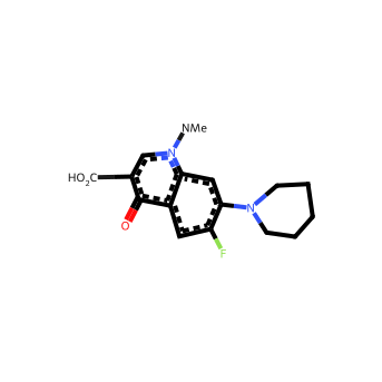 CNn1cc(C(=O)O)c(=O)c2cc(F)c(N3CCCCC3)cc21